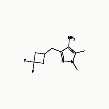 Cc1c(N)c(CC2CC(F)(F)C2)nn1C